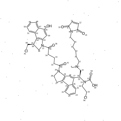 CN(CCCCCCN1C(=O)C=CC1=O)C[C@H](c1cc2c(c3ccccc13)CCN2C(=O)CCCC(=O)N1C[C@@H](CCl)c2c1cc(O)c1ccccc21)N(CCCl)C(=O)O